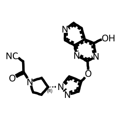 N#CCC(=O)N1CC[C@@H](n2cc(Oc3nc(O)c4ccncc4n3)cn2)C1